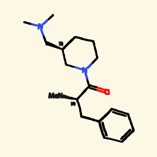 CN[C@H](Cc1ccccc1)C(=O)N1CCC[C@H](CN(C)C)C1